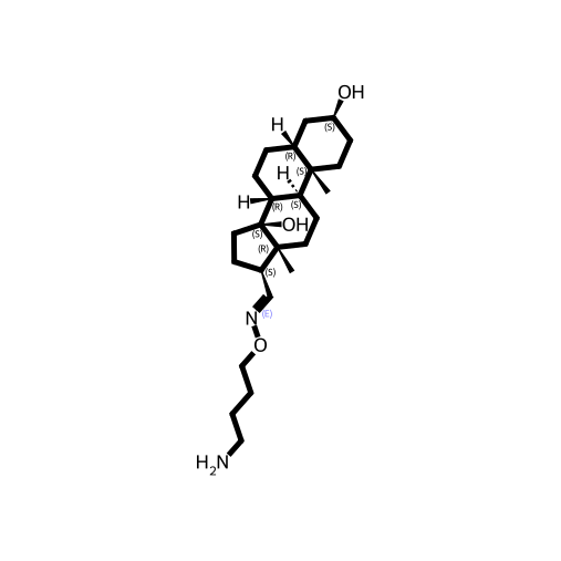 C[C@]12CC[C@H](O)C[C@H]1CC[C@@H]1[C@@H]2CC[C@]2(C)[C@@H](/C=N/OCCCCN)CC[C@]12O